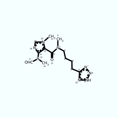 CN(CCCCc1nn[nH]n1)C(=O)c1c(N(C)C=O)ncn1C